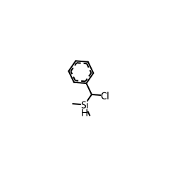 C[SiH](C)C(Cl)c1ccccc1